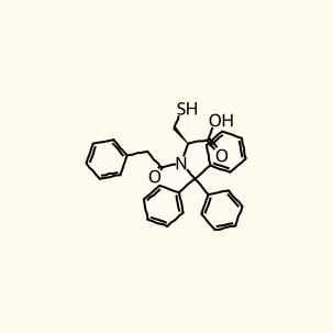 O=C(O)[C@H](CS)N(C(=O)Cc1ccccc1)C(c1ccccc1)(c1ccccc1)c1ccccc1